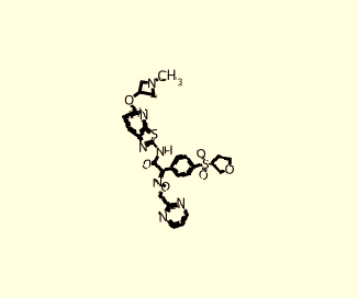 CN1CC(Oc2ccc3nc(NC(=O)/C(=N/OCc4ncccn4)c4ccc(S(=O)(=O)[C@H]5CCOC5)cc4)sc3n2)C1